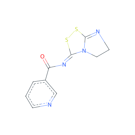 O=C(N=C1SSC2=NCCN21)c1cccnc1